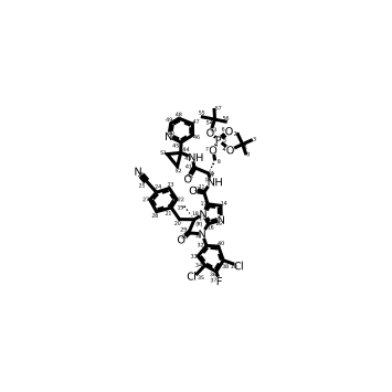 CC(C)(C)OP(=O)(OC[C@H](NC(=O)c1cnc2n1[C@](C)(Cc1ccc(C#N)cc1)C(=O)N2c1cc(Cl)c(F)c(Cl)c1)C(=O)NC1(c2ccccn2)CC1)OC(C)(C)C